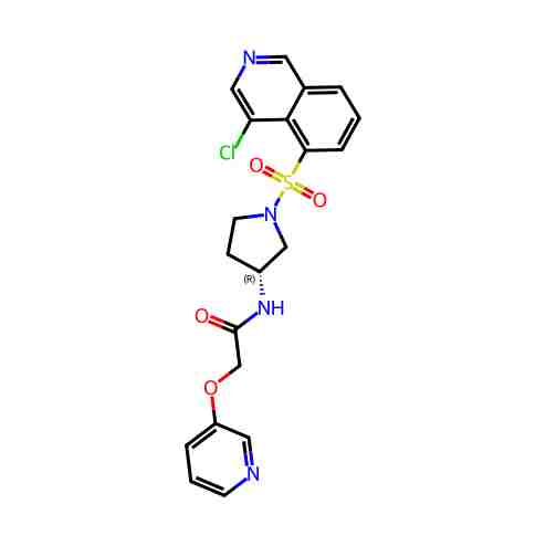 O=C(COc1cccnc1)N[C@@H]1CCN(S(=O)(=O)c2cccc3cncc(Cl)c23)C1